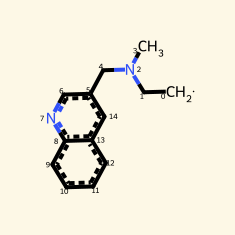 [CH2]CN(C)Cc1cnc2ccccc2c1